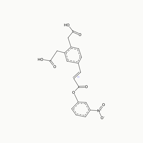 O=C(O)Cc1ccc(/C=C/C(=O)Oc2cccc([N+](=O)[O-])c2)cc1CC(=O)O